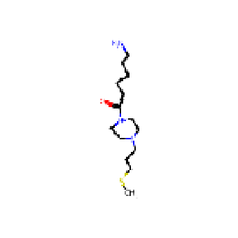 CSCCCN1CCN(C(=O)CCCCCN)CC1